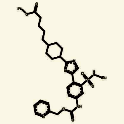 CC(C)OC(=O)CCCCC1CCC(c2ncc(-c3ccc(NC(=O)OCc4ccccn4)cc3S(=O)(=O)NC(C)(C)C)s2)CC1